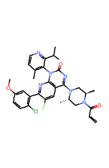 C=CC(=O)N1C[C@H](C)N(c2nc(=O)n(-c3c(C)ccnc3C(C)C)c3nc(-c4cc(OC)ccc4Cl)c(F)cc23)C[C@H]1C